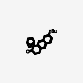 CCCCc1ccc2cc3c(cc2c1)C1(CC2C=CC1C2)C(=O)CC3